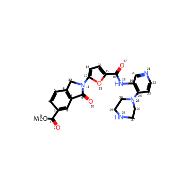 COC(=O)c1ccc2c(c1)C(=O)N(c1ccc(C(=O)Nc3cnccc3N3CCNCC3)o1)C2